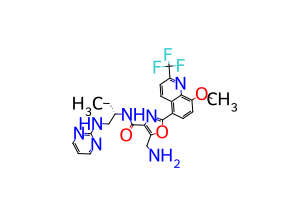 CC[C@@H](CNc1ncccn1)NC(=O)c1nc(-c2ccc(OC)c3nc(C(F)(F)F)ccc23)oc1CN